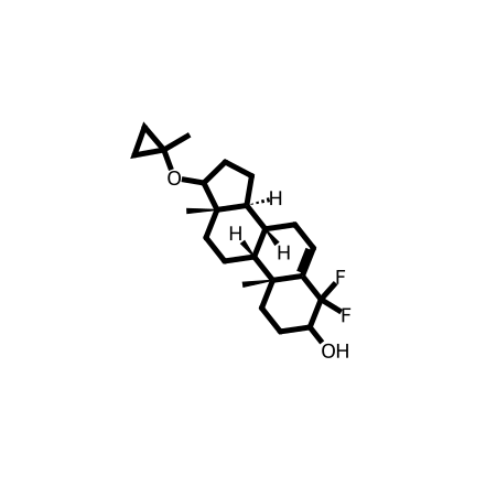 CC1(OC2CC[C@H]3[C@@H]4CC=C5C(F)(F)C(O)CC[C@]5(C)[C@@H]4CC[C@]23C)CC1